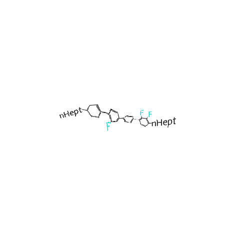 CCCCCCCc1ccc(-c2ccc(-c3ccc(C4=CCC(CCCCCCC)CC4)c(F)c3)cc2)c(F)c1F